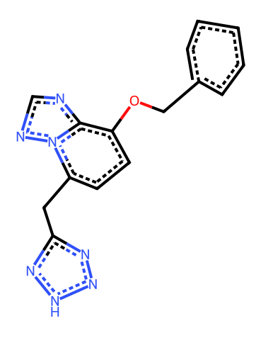 c1ccc(COc2ccc(Cc3nn[nH]n3)n3ncnc23)cc1